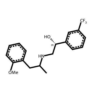 COc1ccccc1CC(C)NC[C@H](O)c1cccc(C(F)(F)F)c1